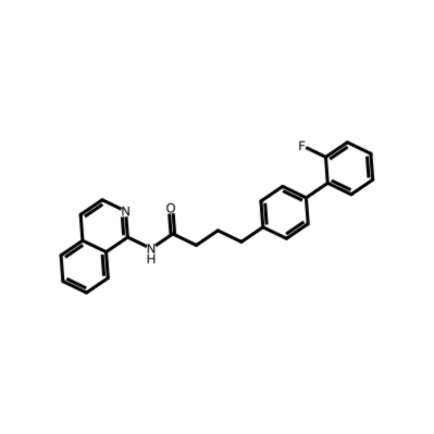 O=C(CCCc1ccc(-c2ccccc2F)cc1)Nc1nccc2ccccc12